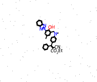 CCOC(=O)C(C#N)=C(c1ccccc1)c1ccc(N(C)Cc2cc(C)cc(-n3nc4ccccc4n3)c2O)cc1